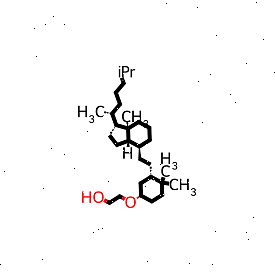 CC(C)CCC[C@@H](C)[C@H]1CC[C@H]2[C@H](CC[C@H]3C[C@@H](OCCO)CCC3(C)C)CCC[C@]12C